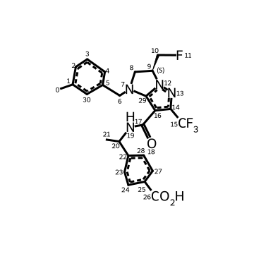 Cc1cccc(CN2C[C@@H](CF)n3nc(C(F)(F)F)c(C(=O)NC(C)c4ccc(C(=O)O)cc4)c32)c1